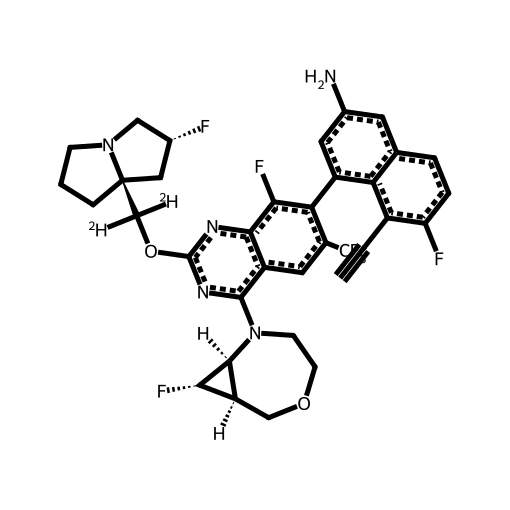 [2H]C([2H])(Oc1nc(N2CCOC[C@H]3[C@H](F)[C@H]32)c2cc(C(F)(F)F)c(-c3cc(N)cc4ccc(F)c(C#C)c34)c(F)c2n1)[C@@]12CCCN1C[C@H](F)C2